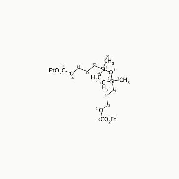 CCOC(=O)OCCC[Si](C)(C)O[Si](C)(C)CCCOC(=O)OCC